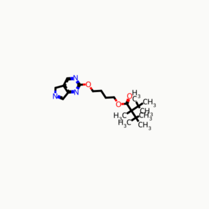 CC(C)(C)C(C)(C(=O)OCCCCOc1ncc2c(n1)C=NC2)C(C)(C)C